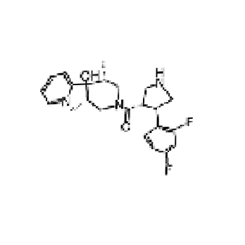 C[C@@H]1CN(C(=O)[C@@H]2CNC[C@H]2c2ccc(F)cc2F)C[C@H](C)[C@@]1(O)c1ccccn1